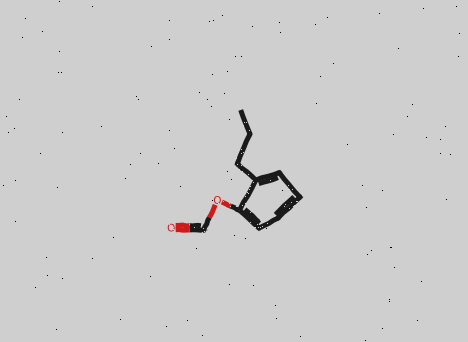 CCCc1ccccc1O[C]=O